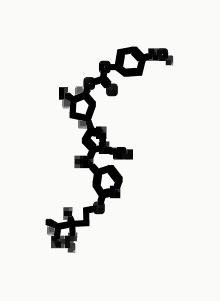 C[C@H](N)C(F)(F)CCOc1cc(Nc2cc([C@H]3C[C@@H](F)[C@@H](OC(=O)Oc4ccc([N+](=O)[O-])cc4)C3)nn2C(C)(C)C)ccn1